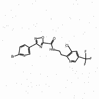 O=C(NCCc1ncc(C(F)(F)F)cc1Cl)c1nc(-c2ccc(Br)nc2)no1